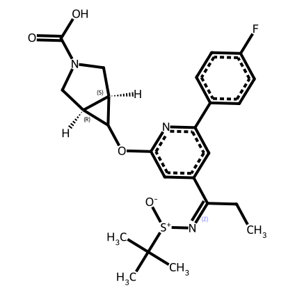 CC/C(=N/[S+]([O-])C(C)(C)C)c1cc(OC2[C@H]3CN(C(=O)O)C[C@@H]23)nc(-c2ccc(F)cc2)c1